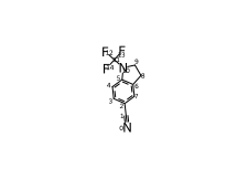 N#Cc1ccc2c(c1)CCN2C(F)(F)F